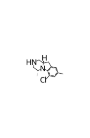 Cc1cc(Cl)c2c(c1)C[C@H]1CNC[C@@H](C)N21